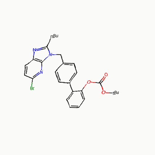 CCCCc1nc2ccc(Br)nc2n1Cc1ccc(-c2ccccc2OC(=O)OC(C)(C)C)cc1